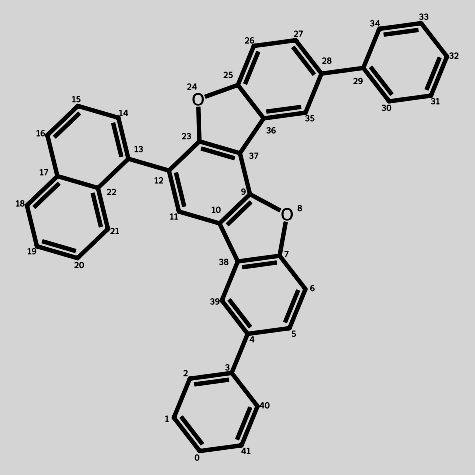 c1ccc(-c2ccc3oc4c(cc(-c5cccc6ccccc56)c5oc6ccc(-c7ccccc7)cc6c54)c3c2)cc1